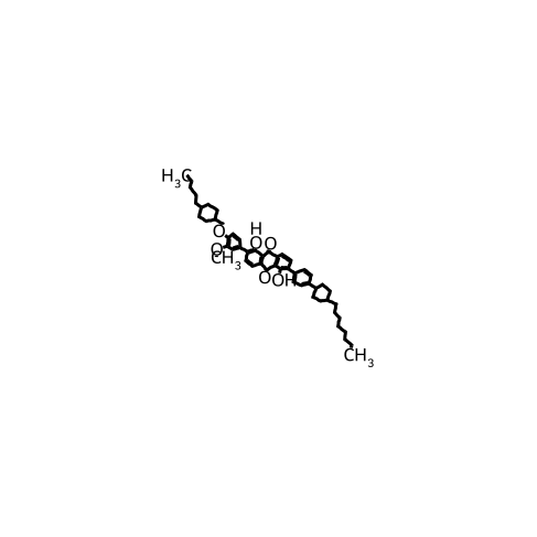 CCCCCCCCC1CCC(c2ccc(-c3ccc4c(c3O)C(=O)c3ccc(-c5ccc(OCC6CCC(CCCCC)CC6)c(OC)c5)c(O)c3C4=O)cc2)CC1